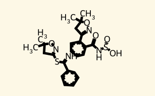 CC1(C)CC(SC(=N)c2ccccc2)=NO1.CC1(C)CC(c2ccccc2C(=O)NS(=O)O)=NO1